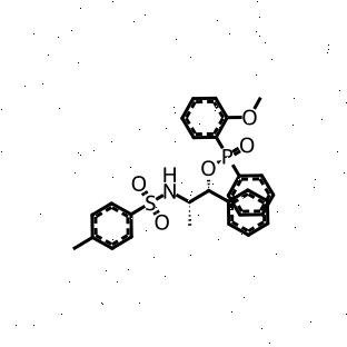 COc1ccccc1[P@](=O)(O[C@H](c1ccccc1)[C@H](C)NS(=O)(=O)c1ccc(C)cc1)c1ccccc1